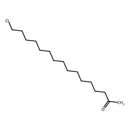 CC(=O)CCCCCCCCCCCCCCCl